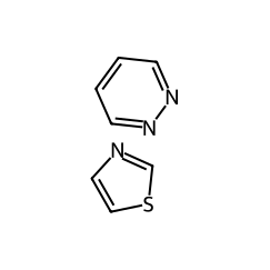 c1ccnnc1.c1cscn1